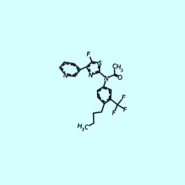 CCCCc1ccc(N(C(C)=O)c2nc(-c3cccnc3)c(F)s2)cc1C(F)(F)F